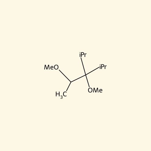 COC(C)C(OC)(C(C)C)C(C)C